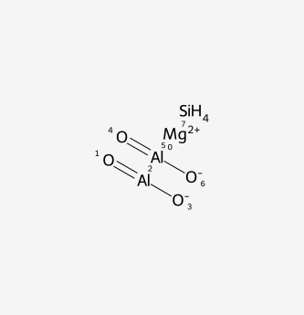 [Mg+2].[O]=[Al][O-].[O]=[Al][O-].[SiH4]